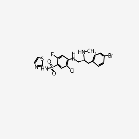 CN[C@H](CNc1cc(F)c(S(=O)(=O)Nc2nccs2)cc1Cl)Cc1ccc(Br)cc1